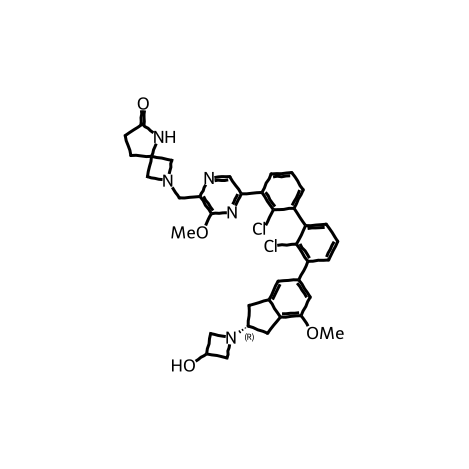 COc1cc(-c2cccc(-c3cccc(-c4cnc(CN5CC6(CCC(=O)N6)C5)c(OC)n4)c3Cl)c2Cl)cc2c1C[C@H](N1CC(O)C1)C2